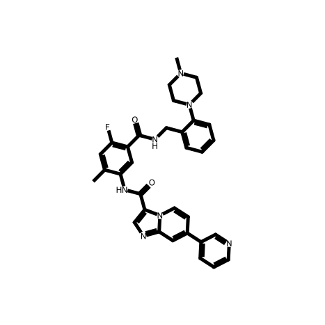 Cc1cc(F)c(C(=O)NCc2ccccc2N2CCN(C)CC2)cc1NC(=O)c1cnc2cc(-c3cccnc3)ccn12